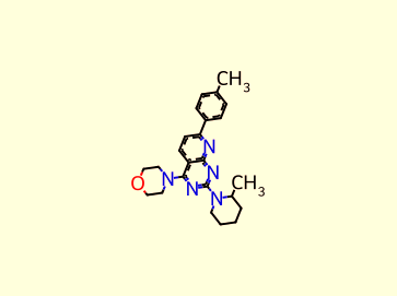 Cc1ccc(-c2ccc3c(N4CCOCC4)nc(N4CCCCC4C)nc3n2)cc1